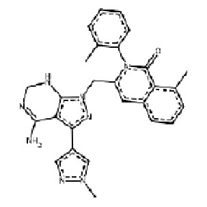 Cc1ccccc1-n1c(Cn2nc(-c3cnn(C)c3)c3c2NCN=C3N)cc2cccc(C)c2c1=O